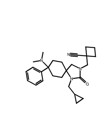 CN(C)C1(c2ccccc2)CCC2(CC1)CN(CC1(C#N)CCC1)C(=O)N2CC1CC1